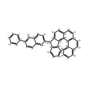 c1ccc(-c2ccc3nc(-n4c5cccc6c5c5c7c(ccc8ccc9cccc-6c9c87)ccc54)ccc3n2)cc1